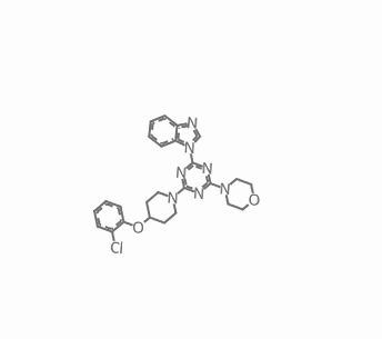 Clc1ccccc1OC1CCN(c2nc(N3CCOCC3)nc(-n3cnc4ccccc43)n2)CC1